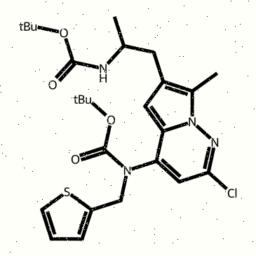 Cc1c(CC(C)NC(=O)OC(C)(C)C)cc2c(N(Cc3cccs3)C(=O)OC(C)(C)C)cc(Cl)nn12